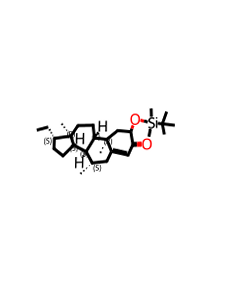 CC[C@H]1CC[C@H]2[C@@H]3[C@@H](C)CC4=CC(=O)C(O[Si](C)(C)C(C)(C)C)C[C@]4(C)[C@H]3CC[C@]12C